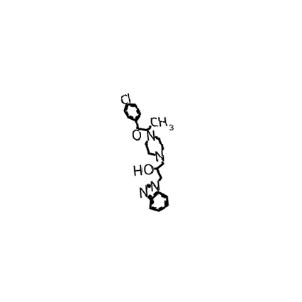 CC(C(=O)c1ccc(Cl)cc1)N1CCN(CC(O)Cn2cnc3ccccc32)CC1